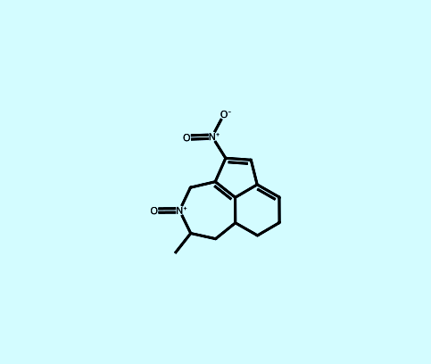 CC1CC2CCC=C3C=C([N+](=O)[O-])C(=C32)C[N+]1=O